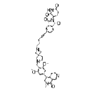 COc1cc(-c2cn(C)c(=O)c3cnccc23)cc(OC)c1CN1CCC2(C1)CN(CCCC#Cc1ccc3c(c1)C(=O)N(C1CCC(=O)NC1=O)C3=O)C2